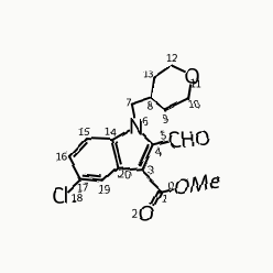 COC(=O)c1c(C=O)n(CC2CCOCC2)c2ccc(Cl)cc12